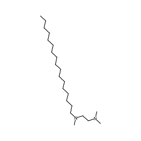 CCCCCCCCCCCCCCCCCN(C)CCN(C)C